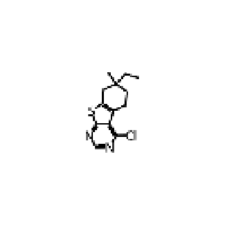 CCC1(C)CCc2c(sc3ncnc(Cl)c23)C1